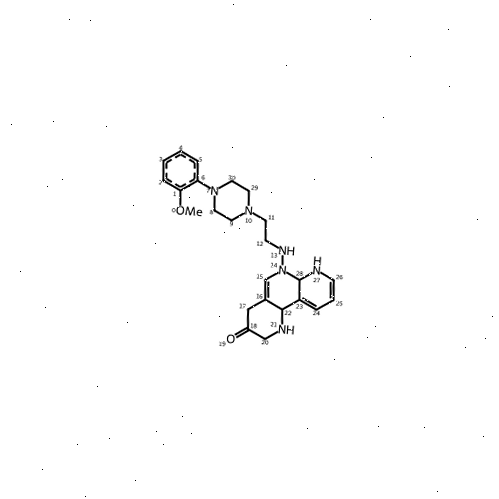 COc1ccccc1N1CCN(CCNN2C=C3CC(=O)CNC3C3=CC=CNC32)CC1